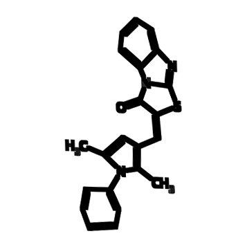 Cc1cc(/C=c2/sc3nc4ccccc4n3c2=O)c(C)n1-c1ccccc1